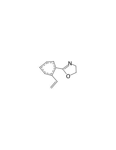 C=Cc1ccccc1C1=NCCO1